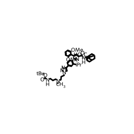 COc1cccc(OC)c1-c1cc(C(=O)NC2(C(=O)O)C3CC4CC(C3)CC2C4)nn1-c1ccc(-c2cn(CCCN(C)CCCNC(=O)OC(C)(C)C)nn2)cc1C(C)C